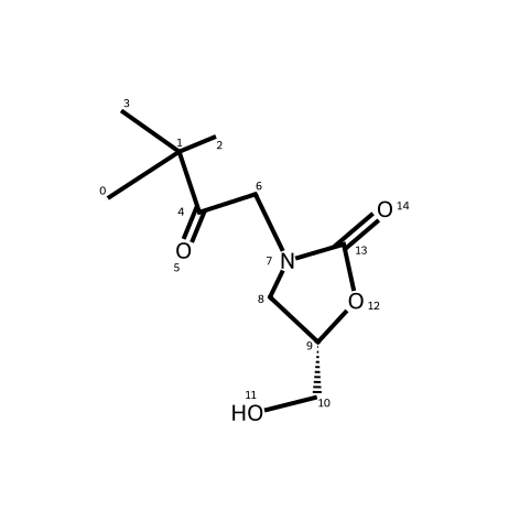 CC(C)(C)C(=O)CN1C[C@@H](CO)OC1=O